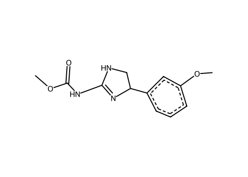 COC(=O)NC1=NC(c2cccc(OC)c2)CN1